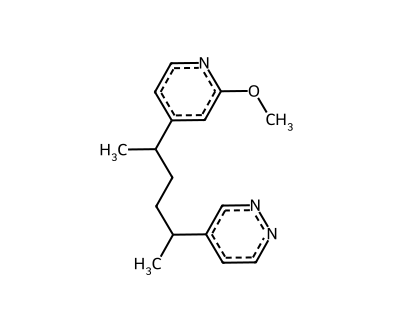 COc1cc(C(C)CCC(C)c2ccnnc2)ccn1